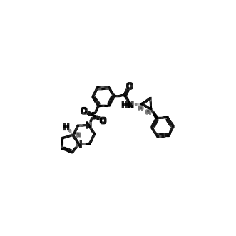 O=C(N[C@@H]1C[C@H]1c1ccccc1)c1cccc(S(=O)(=O)N2CCN3C=CC[C@H]3C2)c1